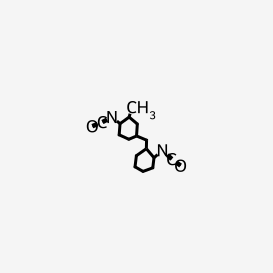 CC1CC(CC2CCCCC2N=C=O)CCC1N=C=O